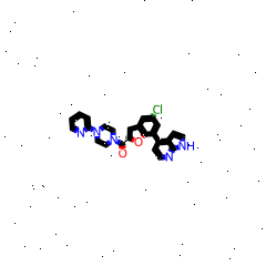 O=C([C@@H]1Cc2cc(Cl)cc(-c3ccnc4[nH]ccc34)c2O1)N1CCN(c2ccccn2)CC1